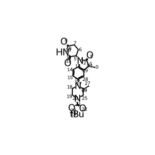 C[C@@H]1C(=O)N(C2CCC(=O)NC2=O)c2ccc(N3CCN(C(=O)OC(C)(C)C)C[C@@H]3C)cc21